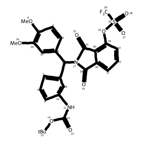 COc1ccc(C(c2cccc(NC(=O)OC(C)(C)C)c2)N2C(=O)c3cccc(OS(=O)(=O)C(F)(F)F)c3C2=O)cc1OC